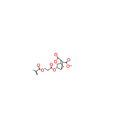 C=C(C)C(=O)OCCC(=O)OC1C2CC3C1OC(=O)C3C2C(=O)OC